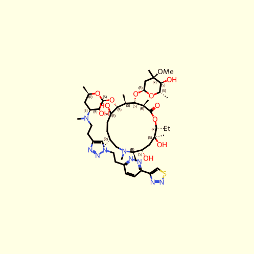 CC[C@H]1OC(=O)[C@H](C)[C@@H](O[C@H]2C[C@@](C)(OC)[C@@H](O)[C@H](C)O2)[C@H](C)[C@@H](O[C@@H]2O[C@H](C)C[C@H](N(C)CCc3cn(CCc4ccc(-c5csnn5)nn4)nn3)[C@H]2O)[C@](C)(O)CC[C@@H](C)CN(C)[C@H](C)[C@@H](O)C[C@]1(C)O